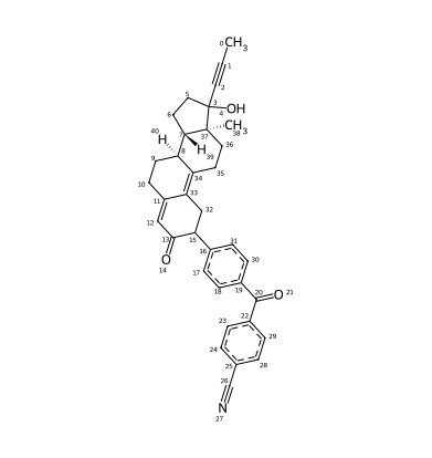 CC#CC1(O)CC[C@H]2[C@@H]3CCC4=CC(=O)C(c5ccc(C(=O)c6ccc(C#N)cc6)cc5)CC4=C3CC[C@@]21C